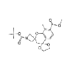 COC(=O)c1ccc2c(c1C)OC1(CN(C(=O)OC(C)(C)C)C1)CC21OCCO1